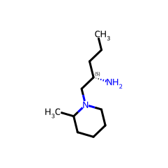 CCC[C@H](N)CN1CCCCC1C